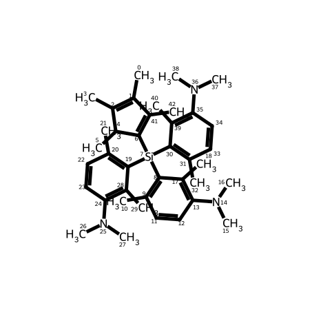 CC1=C(C)C(C)C([Si](c2c(C)ccc(N(C)C)c2C)(c2c(C)ccc(N(C)C)c2C)c2c(C)ccc(N(C)C)c2C)=C1C